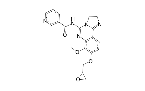 COc1c(OCC2CO2)ccc2c1N=C(NC(=O)c1cccnc1)N1CCN=C21